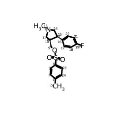 Cc1ccc(S(=O)(=O)OC[C@H]2CN(C)C[C@H]2c2ccc(F)cc2)cc1